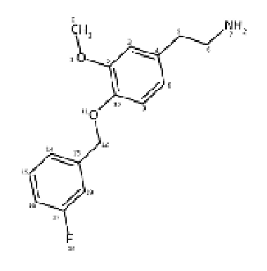 COc1cc(CCN)ccc1OCc1cccc(F)c1